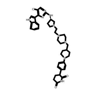 O=C1CCC(c2ccc(N3CCC(CN4CCN(CCN5CC[C@@H](Nc6ncc(Cl)c(-c7c[nH]c8ccccc78)n6)C5)CC4)CC3)cc2)C(=O)N1